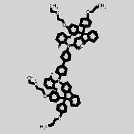 C=CCOc1ccc(C2(c3ccc(OCCOCC)cc3)c3ccccc3-c3ccc(N(c4ccc(-c5ccc(N(c6ccc7c(c6)C(c6ccc(OCC=C)cc6)(c6ccc(OCCOCC)cc6)c6ccccc6-7)c6c(F)cccc6F)cc5)cc4)c4c(F)cccc4F)cc32)cc1